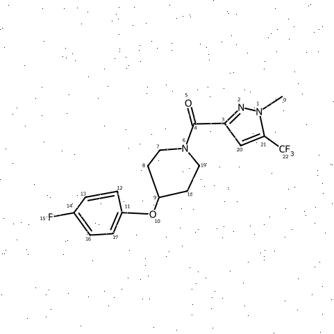 Cn1nc(C(=O)N2CCC(Oc3ccc(F)cc3)CC2)cc1C(F)(F)F